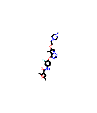 Cc1cc(C(=O)Nc2ccc(Oc3ncnn4cc(OCCN5CCN(C)CC5)c(C)c34)c(F)c2)c(C)o1